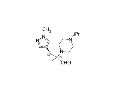 CC(C)N1CCN([C@@]2(C=O)C[C@H]2c2cnn(C)c2)CC1